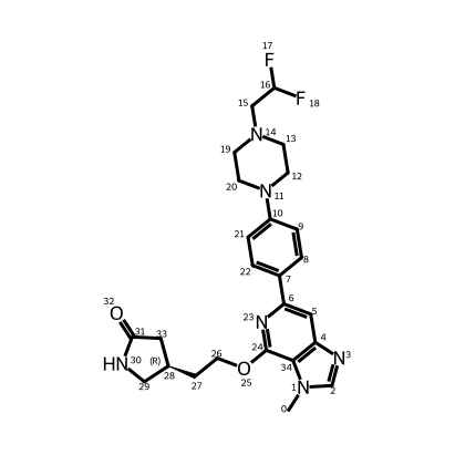 Cn1cnc2cc(-c3ccc(N4CCN(CC(F)F)CC4)cc3)nc(OCC[C@H]3CNC(=O)C3)c21